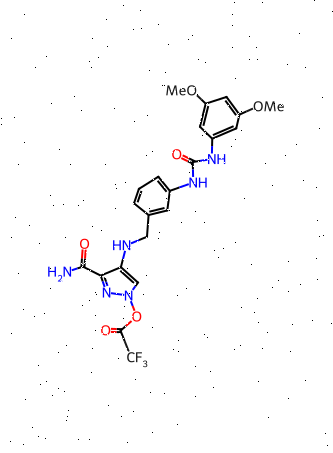 COc1cc(NC(=O)Nc2cccc(CNc3cn(OC(=O)C(F)(F)F)nc3C(N)=O)c2)cc(OC)c1